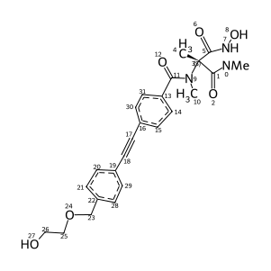 CNC(=O)[C@@](C)(C(=O)NO)N(C)C(=O)c1ccc(C#Cc2ccc(COCCO)cc2)cc1